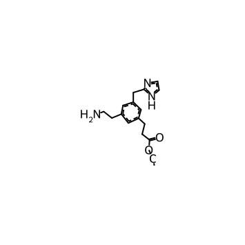 CCOC(=O)CCc1cc(CCN)cc(Cc2ncc[nH]2)c1